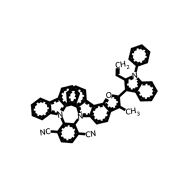 C=Cc1c(-c2oc3c(ccc4c3c3ccccc3n4-c3c(C#N)ccc(C#N)c3-n3c4ccccc4c4ccccc43)c2C)c2ccccc2n1-c1ccccc1